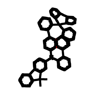 CC1(C)c2ccccc2-c2ccc(N(c3ccc4c(c3)-c3ccccc3C3(c5ccccc5-4)c4ccccc4-c4ccccc43)c3ccccc3-c3c#cccc3)cc21